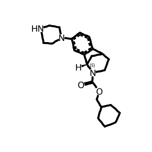 O=C(OCC1CCCCC1)N1CCC2C[C@H]1c1cc(N3CCNCC3)ccc12